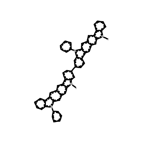 In1c2ccccc2c2cc3cc4c(cc3cc21)c1ccc(-c2ccc3c5cc6cc7c8ccccc8n(-c8ccccc8)c7cc6cc5n(I)c3c2)cc1n4-c1ccccc1